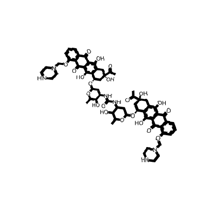 CC(=O)[C@]1(O)Cc2c(O)c3c(c(O)c2[C@@H](OC2CC(NC(=O)NC4CC(O[C@H]5C[C@](O)(C(C)=O)Cc6c(O)c7c(c(O)c65)C(=O)c5c(OCN6CCNCC6)cccc5C7=O)OC(C)C4O)C(O)C(C)O2)C1)C(=O)c1c(OCN2CCNCC2)cccc1C3=O